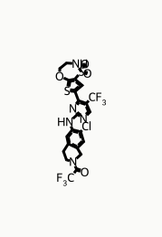 O=C(N1CCc2cc(Nc3ncc(C(F)(F)F)c(-c4cc5c(s4)OCCNS5(=O)=O)n3)c(Cl)cc2C1)C(F)(F)F